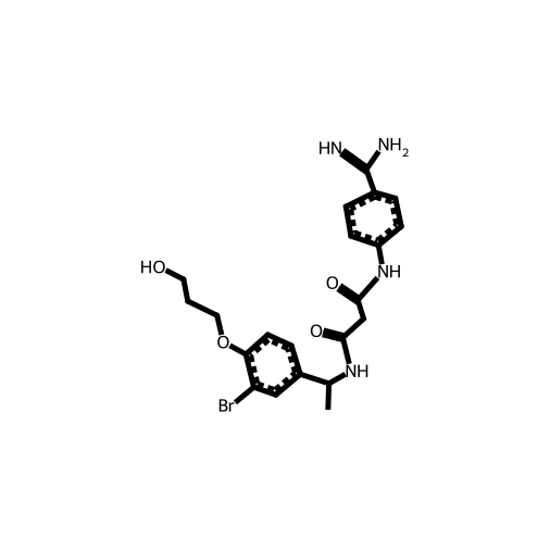 CC(NC(=O)CC(=O)Nc1ccc(C(=N)N)cc1)c1ccc(OCCCO)c(Br)c1